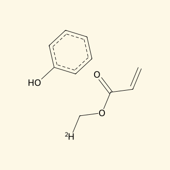 Oc1ccccc1.[2H]COC(=O)C=C